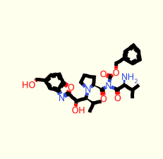 CC(C)[C@@H](C(O)c1nc2cc(CO)ccc2o1)N1CCC[C@H]1C(=O)N(C(=O)OCc1ccccc1)C(=O)[C@@H](N)C(C)C